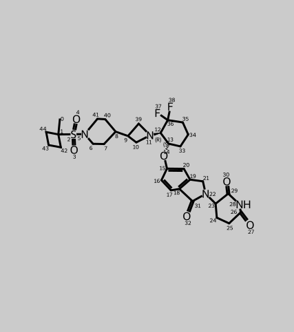 CC1(S(=O)(=O)N2CCC(C3CN([C@@H]4[C@@H](Oc5ccc6c(c5)CN(C5CCC(=O)NC5=O)C6=O)CCCC4(F)F)C3)CC2)CCC1